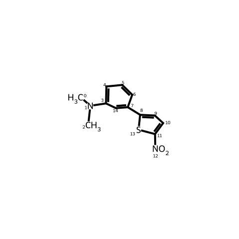 CN(C)c1cccc(-c2ccc([N+](=O)[O-])s2)c1